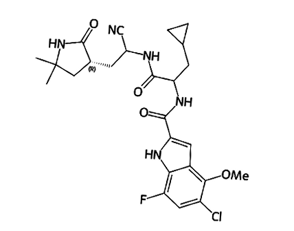 COc1c(Cl)cc(F)c2[nH]c(C(=O)NC(CC3CC3)C(=O)NC(C#N)C[C@@H]3CC(C)(C)NC3=O)cc12